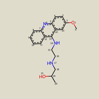 COc1ccc2nc3ccccc3c(NCCNCC(C)O)c2c1